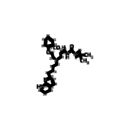 CC1(C)CN(C(=O)NC(CCN(CCCCc2ccc3c(n2)NCCC3)CCOc2ccccc2)C(=O)O)C1